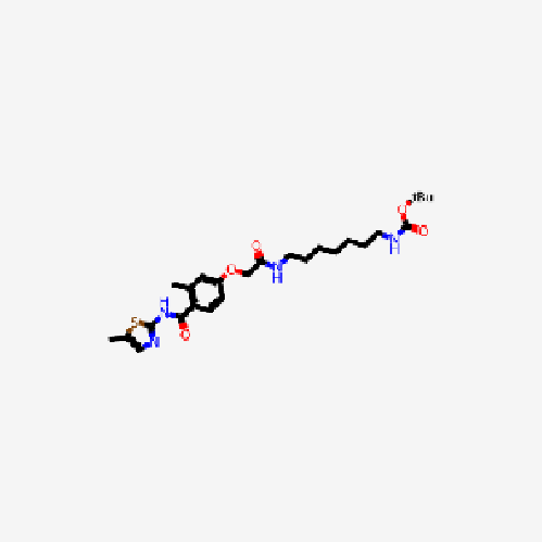 Cc1cnc(NC(=O)c2ccc(OCC(=O)NCCCCCCCNC(=O)OC(C)(C)C)cc2C)s1